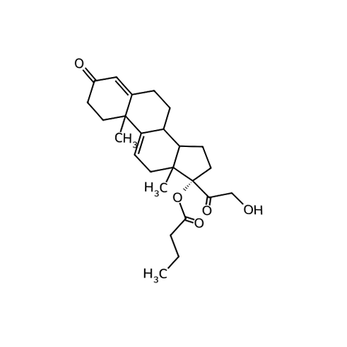 CCCC(=O)O[C@@]1(C(=O)CO)CCC2C3CCC4=CC(=O)CCC4(C)C3=CCC21C